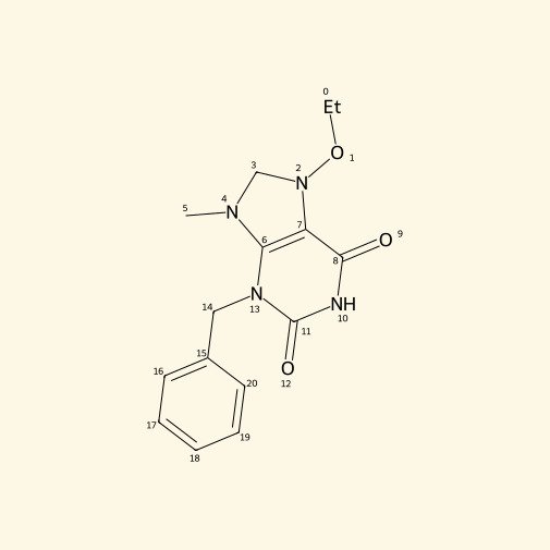 CCON1CN(C)c2c1c(=O)[nH]c(=O)n2Cc1ccccc1